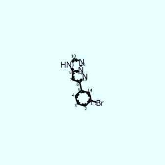 Brc1cccc(-c2cc3[nH][c]nn3n2)c1